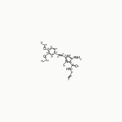 C#CCNC(=O)c1c(N)nc(C#Cc2ccc(OCC)c(OCC)c2)n1C